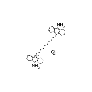 Nc1c2c([n+](CCCCCCCCCC[n+]3c4c(c(N)c5ccccc53)CCCC4)c3ccccc13)CCCC2.[Cl-].[Cl-]